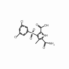 Cc1c(C(N)=O)[nH]c(C(=O)O)c1S(=O)(=O)c1cc(Cl)cc(Cl)c1